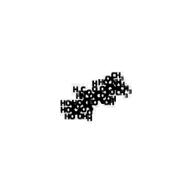 CC(=O)NC1C(OC2C(O)C(CO)OC(OC3C(CO)OC(C(C)(C)C)C(NC(C)=O)C3O)C2O)OC(CO)C(OC2OC(CO)C(O)C(O)C2O)C1O